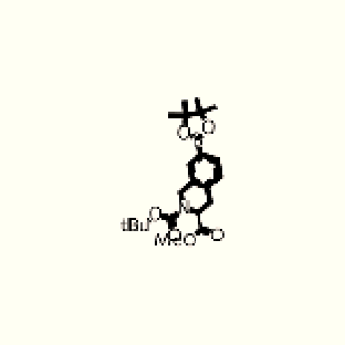 COC(=O)[C@@H]1Cc2ccc(B3OC(C)(C)C(C)(C)O3)cc2CN1C(=O)OC(C)(C)C